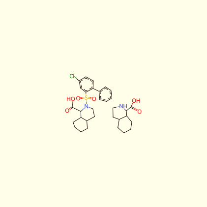 O=C(O)C1C2CCCCC2CCN1S(=O)(=O)c1cc(Cl)ccc1-c1ccccc1.O=C(O)C1NCCC2CCCCC21